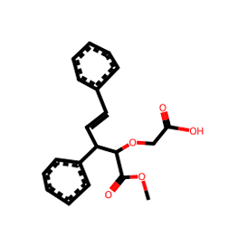 COC(=O)C(OCC(=O)O)C(C=Cc1ccccc1)c1ccccc1